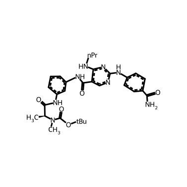 CCCNc1nc(Nc2ccc(C(N)=O)cc2)ncc1C(=O)Nc1cccc(NC(=O)[C@H](C)N(C)C(=O)OC(C)(C)C)c1